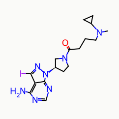 CN(CCCC(=O)N1CC[C@@H](n2nc(I)c3c(N)ncnc32)C1)C1CC1